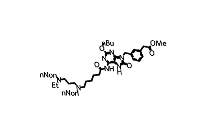 CCCCCCCCCN(CC)CCCN(CCCCCCCCC)CCCCCC(=O)Nc1nc(OCCCC)nc2c1[nH]c(=O)n2Cc1cccc(CC(=O)OC)c1